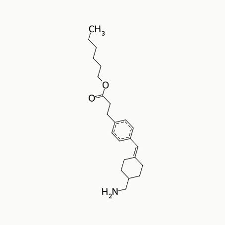 CCCCCCOC(=O)CCc1ccc(C=C2CCC(CN)CC2)cc1